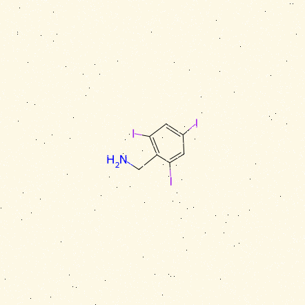 NCc1c(I)cc(I)cc1I